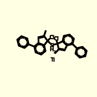 CC1=Cc2c(-c3ccccc3)cccc2C1(Cl)[SiH2]C1(Cl)C(C)=Cc2c(-c3ccccc3)cccc21.[Ti]